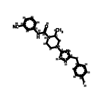 CC1CN(c2nc(Cc3ccc(F)cc3)ns2)CCN1C(=O)Nc1cccc(C#N)c1